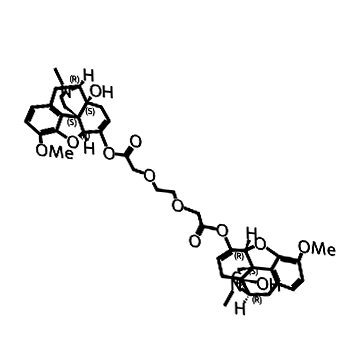 COc1ccc2c3c1O[C@H]1C(OC(=O)COCCOCC(=O)OC4=CC[C@@]5(O)[C@H]6Cc7ccc(OC)c8c7[C@@]5(CCN6C)[C@H]4O8)=CC[C@@]4(O)[C@@H](C2)N(C)CC[C@]314